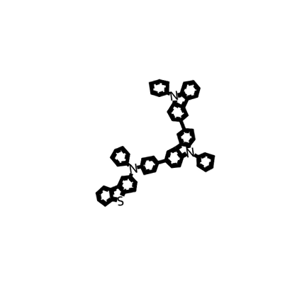 c1ccc(N(c2ccc(-c3ccc4c(c3)c3cc(-c5ccc6c(c5)c5ccccc5n6-c5ccccc5)ccc3n4-c3ccccc3)cc2)c2ccc3sc4ccccc4c3c2)cc1